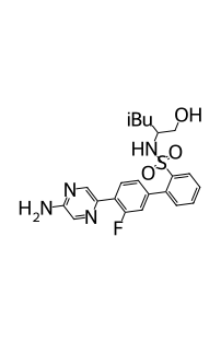 CCC(C)C(CO)NS(=O)(=O)c1ccccc1-c1ccc(-c2cnc(N)cn2)c(F)c1